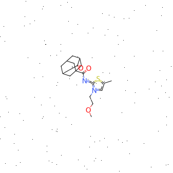 COCCn1cc(C)s/c1=N\C(=O)C12CC3CC(C1)C(=O)C(C3)C2